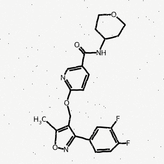 Cc1onc(-c2ccc(F)c(F)c2)c1COc1ccc(C(=O)NC2CCOCC2)cn1